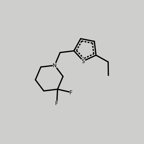 CCc1ccc(CN2CCCC(F)(F)C2)s1